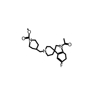 COC(=O)N1CCC(CN2CCC3(CC2)CN(C(C)=O)C2=C3C=C(F)CC2)CC1